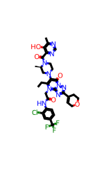 CCc1c(N2CCN(C(=O)c3ncnc(C)c3O)[C@H](C)C2)c(=O)n2nc(C3=CCOCC3)nc2n1CC(=O)Nc1ccc(C(F)(F)F)cc1Cl